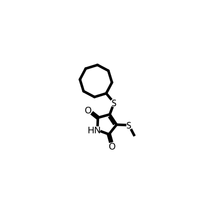 CSC1=C(SC2CCCCCCC2)C(=O)NC1=O